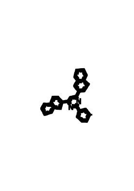 [c]1cccc(-c2nc(-c3ccc4ccccc4c3)cc(-c3ccc4ccccc4c3)n2)c1